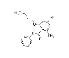 CCCCOc1cc(Br)cc(C)c1C(=O)Oc1ccccc1